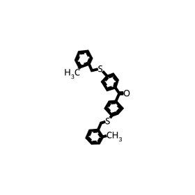 Cc1ccccc1CSc1ccc(C(=O)c2ccc(SCc3ccccc3C)cc2)cc1